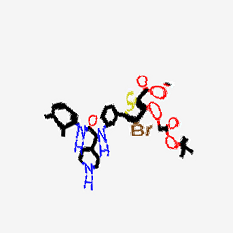 COC(=O)c1sc(-c2cccc(NC(C(=O)Nc3cccc(C)c3C)C3CCNCC3)c2)c(Br)c1OCC(=O)OC(C)(C)C